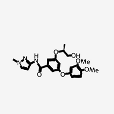 COc1ccc(Oc2cc(O[C@@H](C)CO)cc(C(=O)Nc3ccn(C)n3)c2)cc1OC